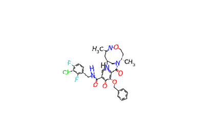 C/C1=N/OCC[C@H](C)N2C[C@H](C1)n1cc(C(=O)NCc3ccc(F)c(Cl)c3F)c(=O)c(OCc3ccccc3)c1C2=O